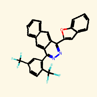 FC(F)(F)c1ccc(C(F)(F)F)c(-c2nnc(-c3cc4ccccc4o3)c3cc4ccccc4cc23)c1